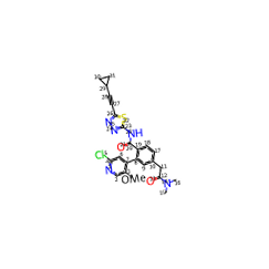 COc1cnc(Cl)cc1-c1cc(CC(=O)N(C)C)ccc1C(=O)Nc1nnc(C#CC2CC2)s1